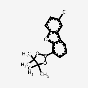 CC1(C)OB(c2cccc3c2oc2ccc(Cl)cc23)OC1(C)C